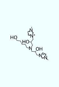 Cn1cc[n+](CC(O)CN(CCCCCO)CC(O)C[n+]2ccn(C)c2)c1